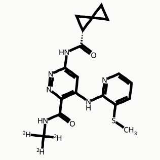 [2H]C([2H])([2H])NC(=O)c1nnc(NC(=O)[C@@H]2CC23CC3)cc1Nc1ncccc1SC